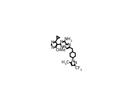 COc1ncnc(C2CC2)c1-c1nc(N)c2nc(CC3CCC(n4nc(C(F)(F)F)cc4C)CC3)cn2n1